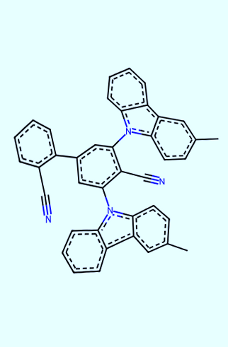 Cc1ccc2c(c1)c1ccccc1n2-c1cc(-c2ccccc2C#N)cc(-n2c3ccccc3c3cc(C)ccc32)c1C#N